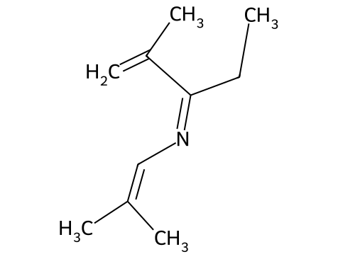 C=C(C)/C(CC)=N\C=C(C)C